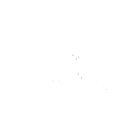 O=[N+]([O-])C(c1ccccc1)(N1CCOCC1)C(F)(F)F